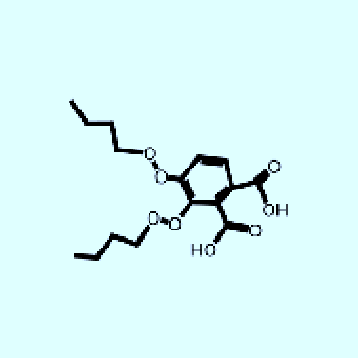 CCCCOOc1ccc(C(=O)O)c(C(=O)O)c1OOCCCC